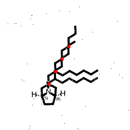 CCCCCCCC(CCCCCC)CN1C[C@H]2CC[C@@H](C1)N2CC(CCCCCC)CCCCCC